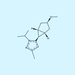 CO[C@@H]1C[C@@H]2[C@H](C1)[C@H]2c1cc(I)nn1C(C)C